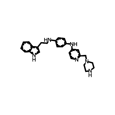 c1ccc2c(CCNc3ccc(Nc4ccnc(CN5CCNCC5)c4)cc3)c[nH]c2c1